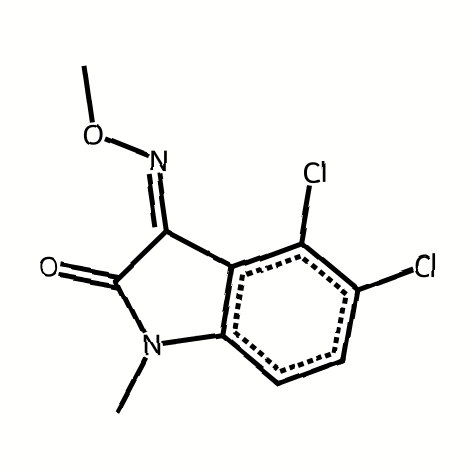 CON=C1C(=O)N(C)c2ccc(Cl)c(Cl)c21